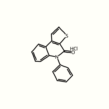 Cl.O=c1c2sccc2c2ccccc2n1-c1ccccc1